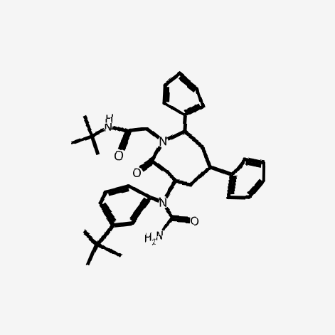 CC(C)(C)NC(=O)CN1C(=O)C(N(C(N)=O)c2cccc(C(C)(C)C)c2)CC(c2ccccc2)CC1c1ccccc1